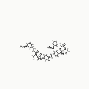 COc1cccc(CCC(=O)N2CCC[C@H]2C(=O)Nc2ccc(/C=C/c3ccc(NC(=O)[C@@H]4CCCN4C(=O)CCc4cccc(OC)c4)cc3)cc2)c1